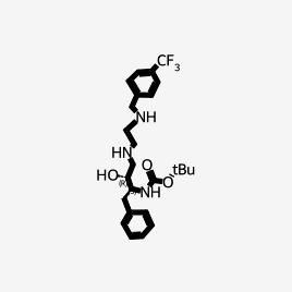 CC(C)(C)OC(=O)N[C@@H](Cc1ccccc1)[C@H](O)CNCCNCc1ccc(C(F)(F)F)cc1